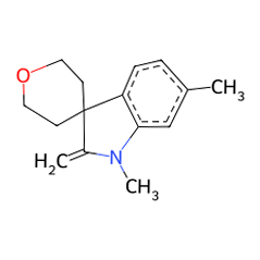 C=C1N(C)c2cc(C)ccc2C12CCOCC2